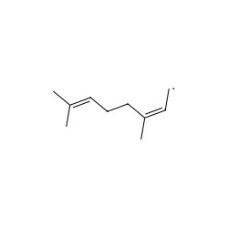 [CH2]/C=C(/C)CCC=C(C)C